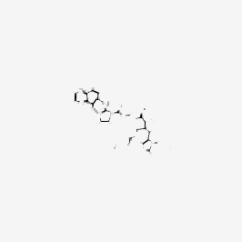 CCCCCCCCCC(=O)OCC(Cc1cncn1C)[C@H](CC)C(=O)OCOC(=O)N1CCN=C1Nc1ccc2nccnc2c1Br